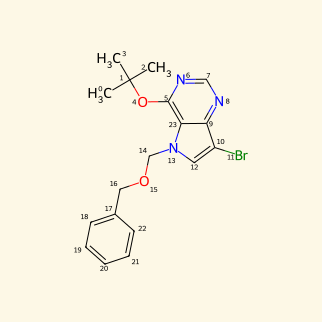 CC(C)(C)Oc1ncnc2c(Br)cn(COCc3ccccc3)c12